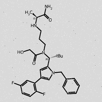 C[C@H](NCCCN(C(=O)CO)[C@@H](c1cc(-c2cc(F)ccc2F)cn1Cc1ccccc1)C(C)(C)C)C(N)=O